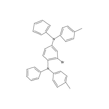 Cc1ccc(N(c2ccccc2)c2ccc(N(c3ccccc3)c3ccc(C)cc3)c(Br)c2)cc1